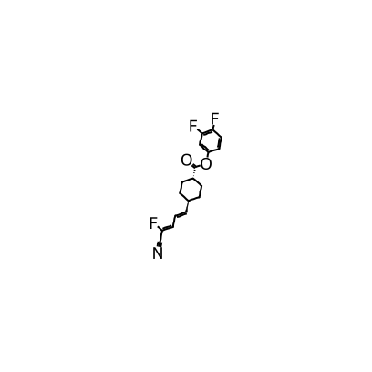 N#CC(F)=CC=C[C@H]1CC[C@H](C(=O)Oc2ccc(F)c(F)c2)CC1